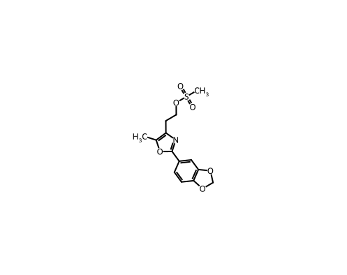 Cc1oc(-c2ccc3c(c2)OCO3)nc1CCOS(C)(=O)=O